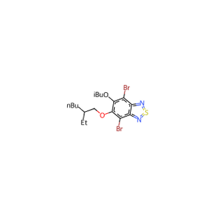 CCCCC(CC)COc1c(OCC(C)C)c(Br)c2nsnc2c1Br